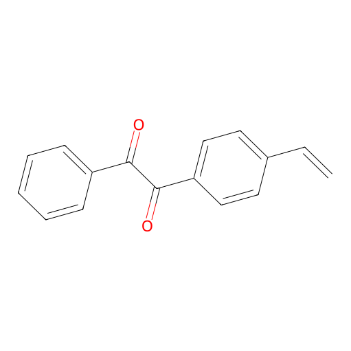 C=Cc1ccc(C(=O)C(=O)c2ccccc2)cc1